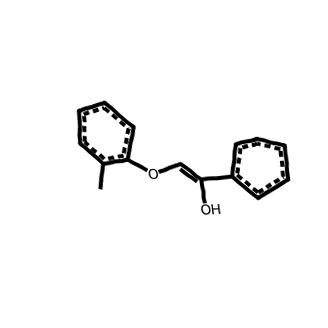 Cc1ccccc1O/C=C(\O)c1ccccc1